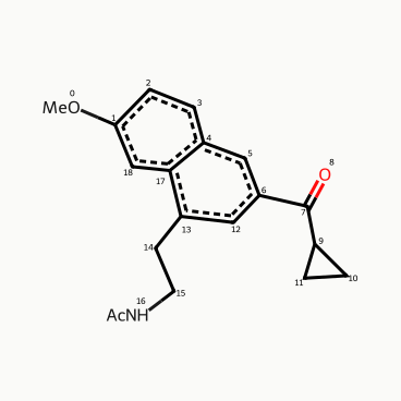 COc1ccc2cc(C(=O)C3CC3)cc(CCNC(C)=O)c2c1